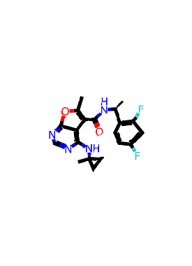 Cc1oc2ncnc(NC3(C)CC3)c2c1C(=O)N[C@@H](C)c1ccc(F)cc1F